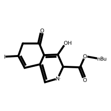 CCCCOC(=O)C1[N]C=C2C=C(I)CC(=O)C2=C1O